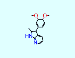 COc1ccc(-c2c(C)[nH]c3ncccc23)cc1OC